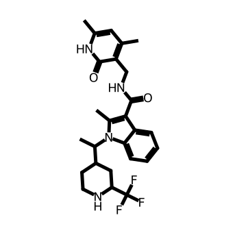 Cc1cc(C)c(CNC(=O)c2c(C)n(C(C)C3CCNC(C(F)(F)F)C3)c3ccccc23)c(=O)[nH]1